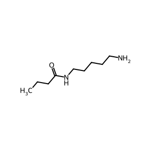 CCCC(=O)NCCCCCN